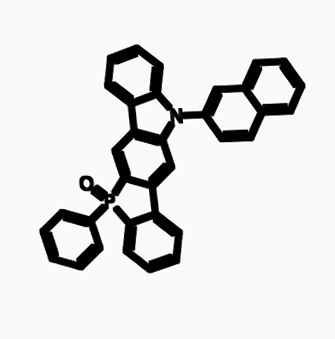 O=P1(c2ccccc2)c2ccccc2-c2cc3c(cc21)c1ccccc1n3-c1ccc2ccccc2c1